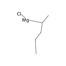 CCC[CH](C)[Mg][Cl]